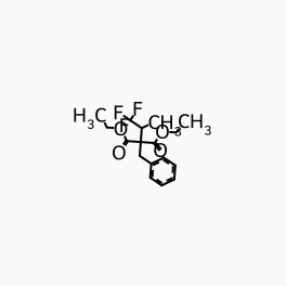 CCOC(=O)C(Cc1ccccc1)(C(=O)OCC)C(C)C(F)(F)F